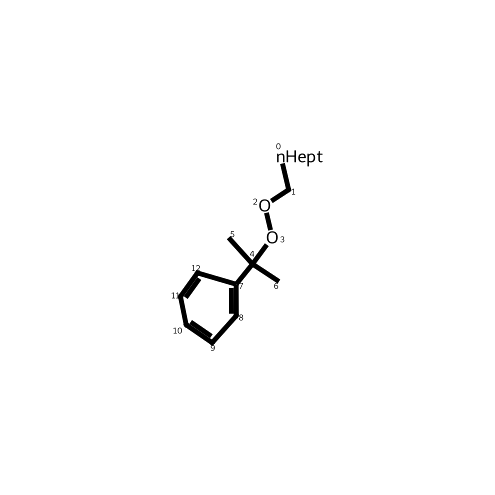 CCCCCCCCOOC(C)(C)c1ccccc1